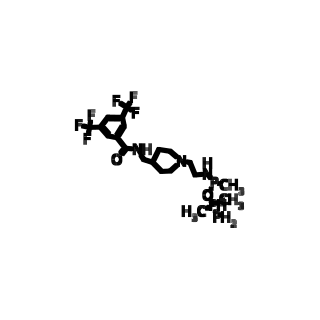 CP(NCCN1CCC(CNC(=O)c2cc(C(F)(F)F)cc(C(F)(F)F)c2)CC1)O[PH](C)(C)P